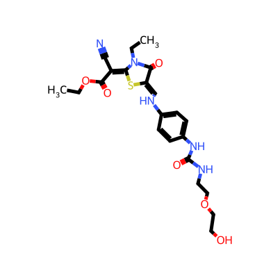 CCOC(=O)C(C#N)=c1sc(=CNc2ccc(NC(=O)NCCOCCO)cc2)c(=O)n1CC